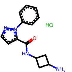 Cl.NC1CC(NC(=O)c2ccnn2-c2ccccc2)C1